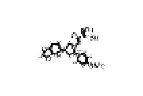 CCCCN(CCCC)C(=O)CN1CC(c2ccc3c(c2)OCO3)CC1c1ccc(OC)cc1